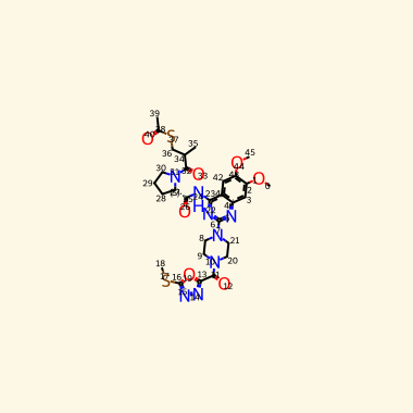 COc1cc2nc(N3CCN(C(=O)c4nnc(SC)o4)CC3)nc(NC(=O)[C@@H]3CCCN3C(=O)C(C)CSC(C)=O)c2cc1OC